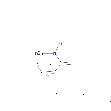 C=C(/C=C\C)N(CC)CCCC